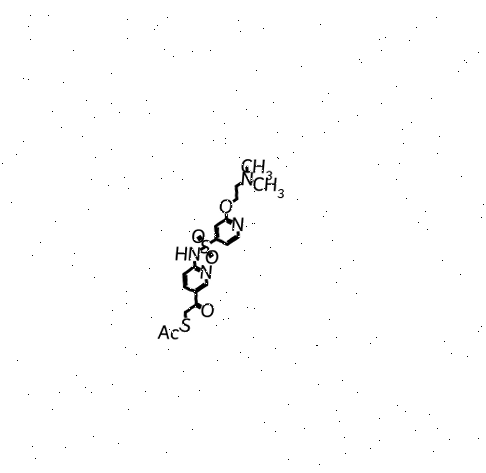 CC(=O)SCC(=O)c1ccc(NS(=O)(=O)c2ccnc(OCCN(C)C)c2)nc1